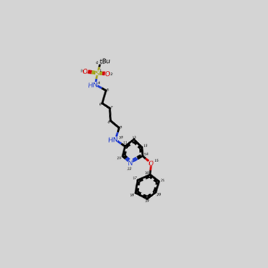 CC(C)(C)S(=O)(=O)NCCCCCNc1ccc(Oc2ccccc2)nc1